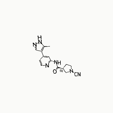 Cc1[nH]ncc1-c1ccnc(NC(=O)[C@H]2CCN(C#N)C2)c1